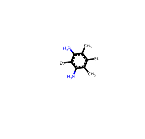 CCc1c(C)c(N)c(CC)c(N)c1C